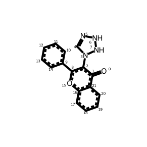 O=c1c(N2C=NNN2)c(-c2ccccc2)oc2ccccc12